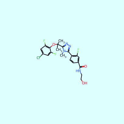 Cn1c(-c2ccc(C(=O)NCCO)cc2F)nnc1C(C)(C)Oc1c(F)cc(Cl)cc1F